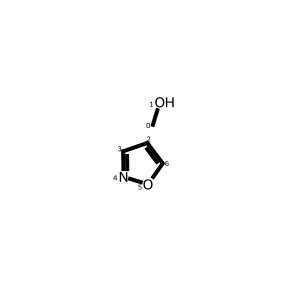 CO.c1cnoc1